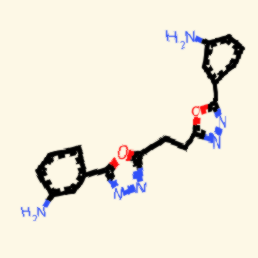 Nc1cccc(-c2nnc(CCc3nnc(-c4cccc(N)c4)o3)o2)c1